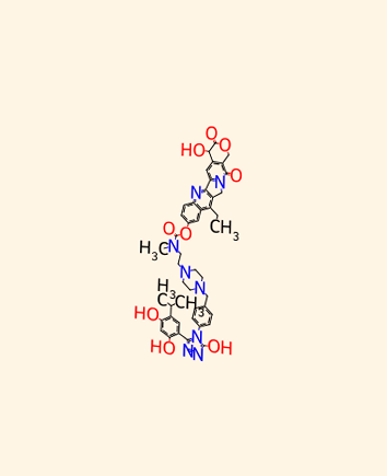 CCc1c2c(nc3ccc(OC(=O)N(C)CCN4CCN(Cc5ccc(-n6c(O)nnc6-c6cc(C(C)C)c(O)cc6O)cc5)CC4)cc13)-c1cc3c(c(=O)n1C2)COC(=O)C3O